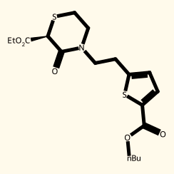 CCCCOC(=O)c1ccc(CCN2CCS[C@H](C(=O)OCC)C2=O)s1